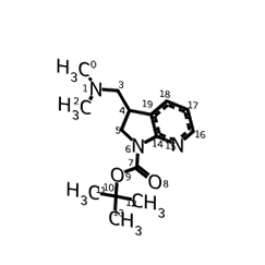 CN(C)CC1CN(C(=O)OC(C)(C)C)c2ncccc21